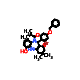 CC(C)C(=O)N1c2cccc(O)c2NC2=C(C(=O)CC(C)(C)C2)C1c1ccc(OCc2ccccc2)cc1Br